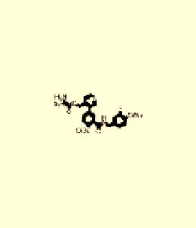 COc1ccc(CNC(=O)c2cc(-c3cnccc3COC(=O)[C@@H](N)C(C)C)ccc2OCC(C)C)cc1F